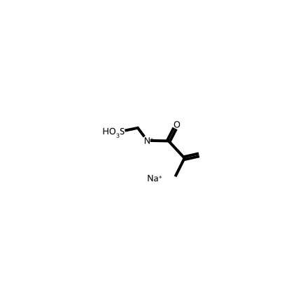 C=C(C)C(=O)[N-]CS(=O)(=O)O.[Na+]